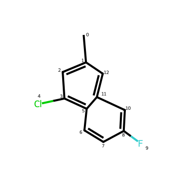 Cc1cc(Cl)c2ccc(F)cc2c1